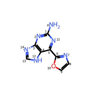 Nc1nc2c(c(-c3ncco3)n1)NC=[N+]2